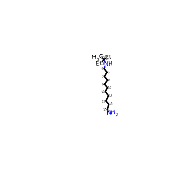 CCC(C)(CC)NCCCCCCCCCCCN